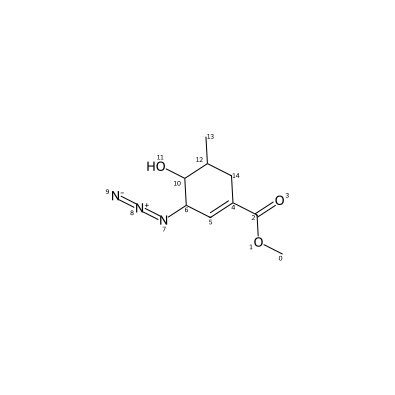 COC(=O)C1=CC(N=[N+]=[N-])C(O)C(C)C1